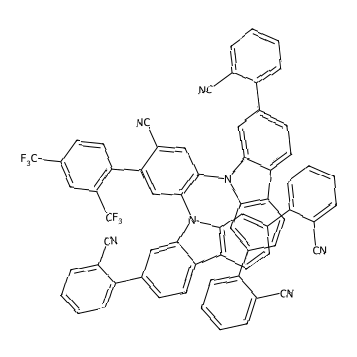 N#Cc1ccccc1-c1ccc2c3ccc(-c4ccccc4C#N)cc3n(-c3cc(C#N)c(-c4ccc(C(F)(F)F)cc4C(F)(F)F)cc3-n3c4cc(-c5ccccc5C#N)ccc4c4ccc(-c5ccccc5C#N)cc43)c2c1